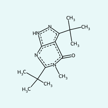 Cn1c(C(C)(C)C)nc2[nH]nc(C(C)(C)C)c2c1=O